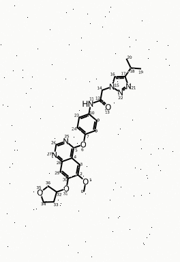 COc1cc2c(Oc3ccc(NC(=O)Cn4cc(C(C)C)nn4)cc3)ncnc2cc1OC1CCOC1